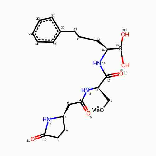 COC[C@@H](NC(=O)C[C@H]1CCC(=O)N1)C(=O)N[C@@H](CCCc1ccccc1)B(O)O